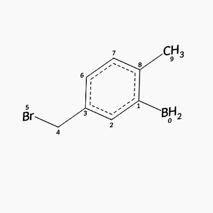 Bc1cc(CBr)ccc1C